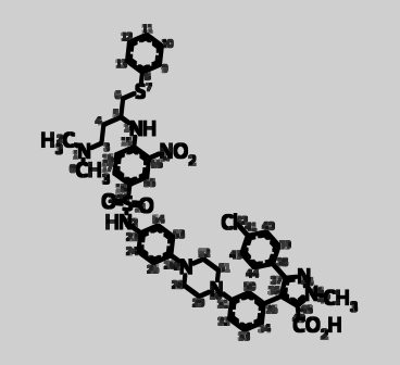 CN(C)CCC(CSc1ccccc1)Nc1ccc(S(=O)(=O)Nc2ccc(N3CCN(c4cccc(-c5c(-c6ccc(Cl)cc6)nn(C)c5C(=O)O)c4)CC3)cc2)cc1[N+](=O)[O-]